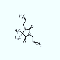 C=CCN1C(=O)N(CC=C)C(C)(C)C1=O